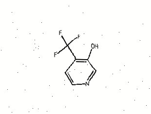 Oc1cnccc1C(F)(F)F